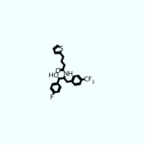 O=C(CCCc1cccs1)NC(Cc1ccc(C(F)(F)F)cc1)C(O)c1ccc(F)cc1